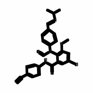 C#Cc1ccc(NC(=O)c2cc(Cl)cc(OC)c2N(C=O)c2ccc(C=NN(C)C)cc2)cc1